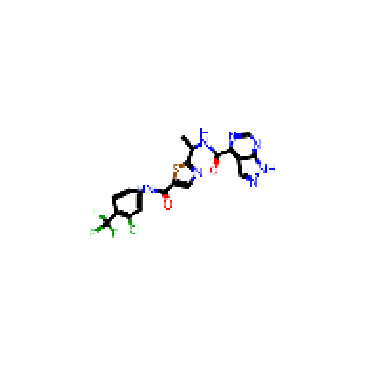 CC(NC(=O)c1ncnc2[nH]ncc12)c1ncc(C(=O)Nc2ccc(C(F)(F)F)c(Cl)c2)s1